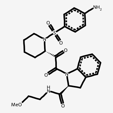 COCCNC(=O)[C@@H]1Cc2ccccc2N1C(=O)C(=O)[C@@H]1CCCCN1S(=O)(=O)c1ccc(N)cc1